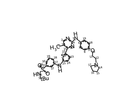 Cc1cnc(Nc2ccc(OCCN3CCCC3)cc2)nc1-c1ccc(Nc2cccc(S(=O)(=O)NC(C)(C)C)c2)s1